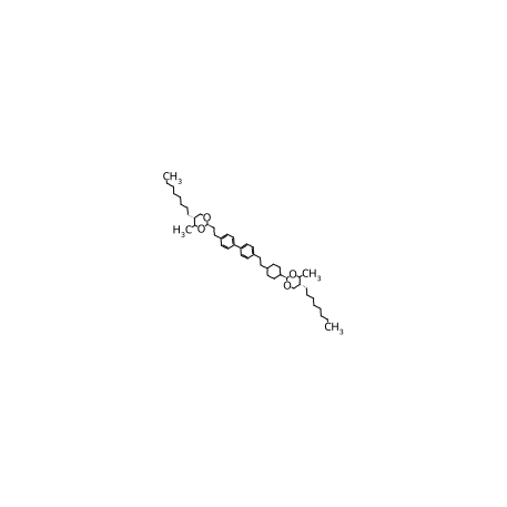 CCCCCCCC[C@@H]1CO[C@@H](CCc2ccc(-c3ccc(CCC4CCC([C@@H]5OC[C@@H](CCCCCCCC)C(C)O5)CC4)cc3)cc2)OC1C